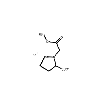 CC(C)(C)OC(=O)CN1CCCC1C(=O)[O-].[Li+]